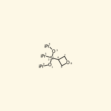 CC(C)O[Si](OC(C)C)(C(C)C)C1COC1